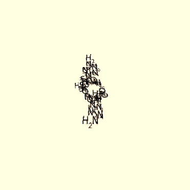 Nc1ncnc2c1ncn2[C@@H]1O[C@@H]2CO[P@](=O)(S)O[C@H]3[C@@H](F)[C@H](n4cnc5c(N)ncnc54)O[C@@H]3CCO[PH](=O)O[C@H]2[C@H]1F